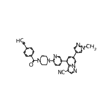 C#Cc1ccc(C(=O)N2CCN(c3ccc(-c4cc(-c5cnn(C)c5)cn5ncc(C#N)c45)cn3)CC2)cc1